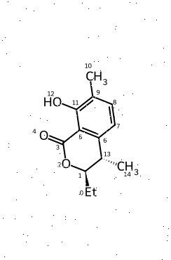 CC[C@H]1OC(=O)c2c(ccc(C)c2O)[C@@H]1C